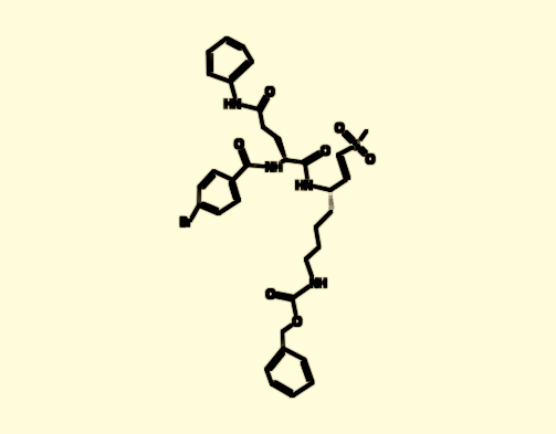 CS(=O)(=O)/C=C/[C@H](CCCCNC(=O)OCc1ccccc1)NC(=O)[C@H](CCC(=O)Nc1ccccc1)NC(=O)c1ccc(Br)cc1